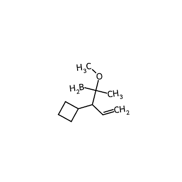 BC(C)(OC)C(C=C)C1CCC1